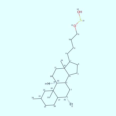 CC[C@H]1CC2C3CCC(CCCCOSO)C3(C)CC[C@@H]2C2(C)CC(C)CCC12